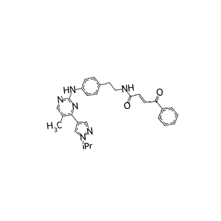 Cc1cnc(Nc2ccc(CCNC(=O)C=CC(=O)c3ccccc3)cc2)nc1-c1cnn(C(C)C)c1